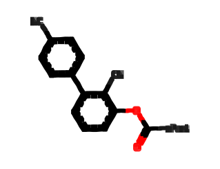 CCCCCC(=O)Oc1cccc(-c2ccc(C#N)cc2)c1C#N